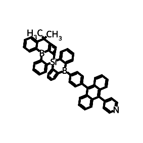 CC1(C)c2ccccc2B2c3ccccc3[Si]3(c4ccccc4B(c4ccc(-c5c6ccccc6c(-c6ccncc6)c6ccccc56)cc4)c4ccccc43)c3cccc1c32